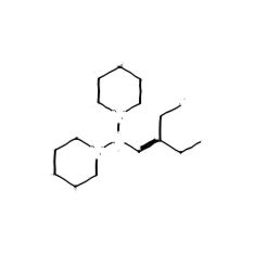 CCC(=CP(N1CCCCC1)N1CCCCC1)CC